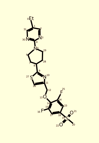 CCc1cnc(N2CCC(c3nc(COc4c(F)cc(S(C)(=O)=O)cc4F)cs3)CC2)nc1